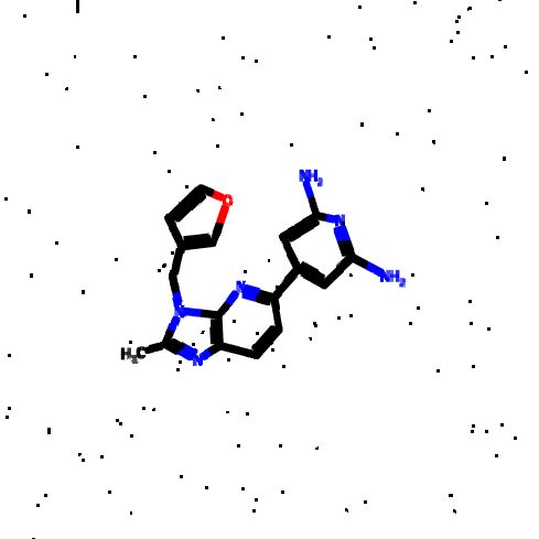 Cc1nc2ccc(-c3cc(N)nc(N)c3)nc2n1Cc1ccoc1